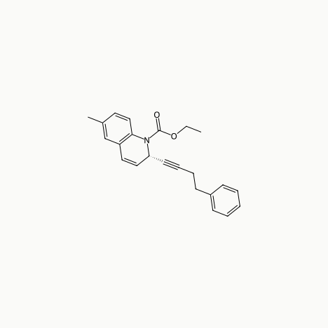 CCOC(=O)N1c2ccc(C)cc2C=C[C@H]1C#CCCc1ccccc1